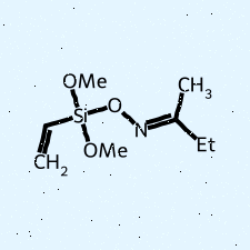 C=C[Si](OC)(OC)ON=C(C)CC